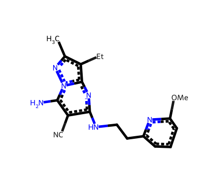 CCc1c(C)nn2c(N)c(C#N)c(NCCc3cccc(OC)n3)nc12